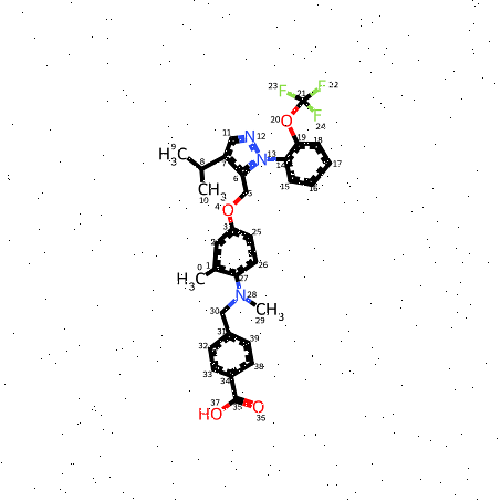 Cc1cc(OCc2c(C(C)C)cnn2-c2ccccc2OC(F)(F)F)ccc1N(C)Cc1ccc(C(=O)O)cc1